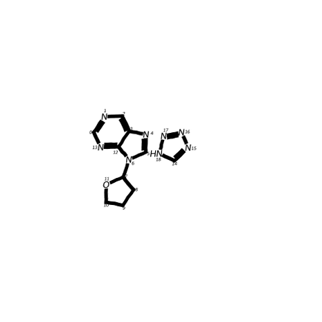 c1ncc2ncn(C3CCCO3)c2n1.c1nnn[nH]1